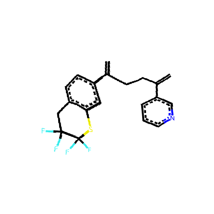 C=C(CCC(=C)c1ccc2c(c1)SC(F)(F)C(F)(F)C2)c1cccnc1